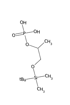 CC(CO[Si](C)(C)C(C)(C)C)OP(=O)(O)O